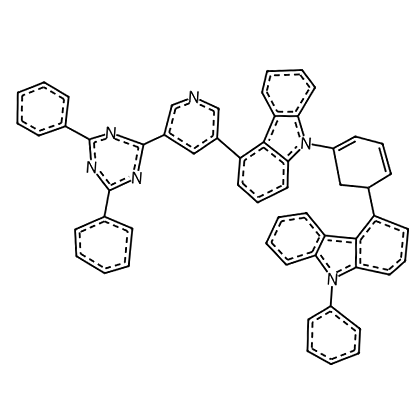 C1=CC(c2cccc3c2c2ccccc2n3-c2ccccc2)CC(n2c3ccccc3c3c(-c4cncc(-c5nc(-c6ccccc6)nc(-c6ccccc6)n5)c4)cccc32)=C1